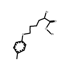 CC(=O)C(CCCCOc1ccc(C)cc1)C(=O)OC(C)C